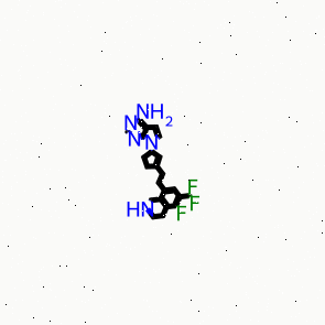 Nc1ncnc2c1ccn2C1C=C(CCc2cc(C(F)F)c(F)c3c2CNCC3)CC1